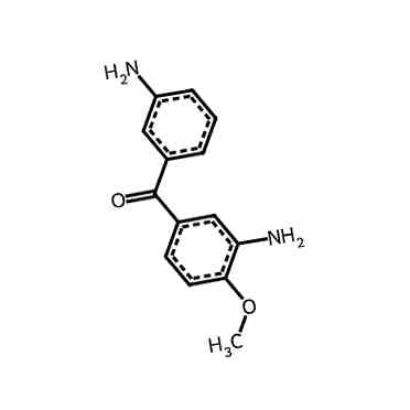 COc1ccc(C(=O)c2cccc(N)c2)cc1N